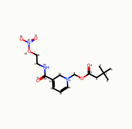 CC(C)(C)CC(=O)OCN1C=CC=C(C(=O)NCCO[N+](=O)[O-])C1